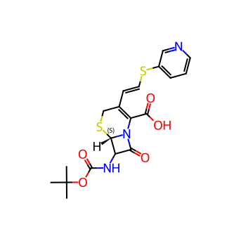 CC(C)(C)OC(=O)NC1C(=O)N2C(C(=O)O)=C(C=CSc3cccnc3)CS[C@@H]12